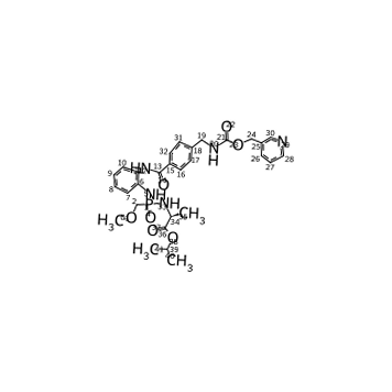 COCP(=O)(Nc1ccccc1NC(=O)c1ccc(CNC(=O)OCc2cccnc2)cc1)N[C@@H](C)C(=O)OC(C)C